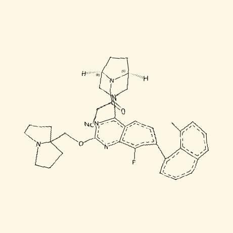 Cc1cccc2cccc(-c3ccc4c(N5C[C@H]6CC[C@@H](C5)N6C(=O)CC#N)nc(OCC56CCCN5CCC6)nc4c3F)c12